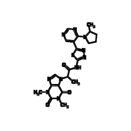 CC1CCCN1c1ncncc1-c1nnc(NC(=O)C(C)n2cnc3c2c(=O)n(C)c(=O)n3C)s1